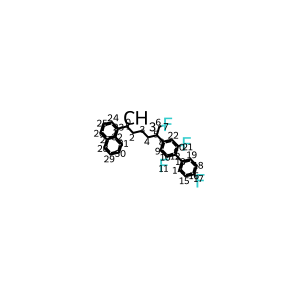 CC(CCCC(CF)c1cc(F)c(-c2ccc(F)cc2)c(F)c1)c1cccc2ccccc12